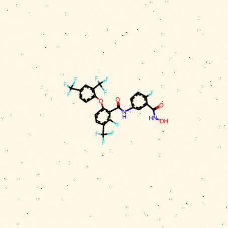 O=C(NO)c1cc(NC(=O)c2c(Oc3ccc(C(F)(F)F)cc3C(F)(F)F)ccc(C(F)(F)F)c2F)ccc1F